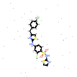 O=S(=O)(Nc1nccs1)c1ccc(Nc2nc(Cc3ccc(Cl)cc3)cs2)cc1F